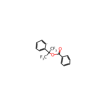 O=C(OC(c1[c]cccc1)(C(F)(F)F)C(F)(F)F)c1ccccc1